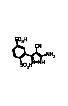 N#Cc1c(-c2cc(S(=O)(=O)O)ccc2S(=O)(=O)O)n[nH]c1N